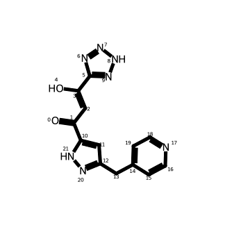 O=C(C=C(O)c1nn[nH]n1)c1cc(Cc2ccncc2)n[nH]1